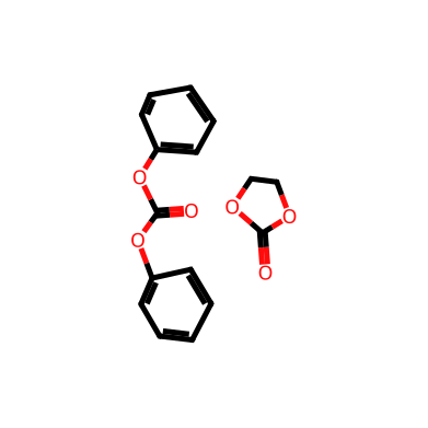 O=C(Oc1ccccc1)Oc1ccccc1.O=C1OCCO1